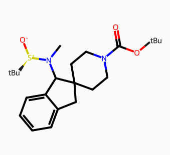 CN(C1c2ccccc2CC12CCN(C(=O)OC(C)(C)C)CC2)[S@+]([O-])C(C)(C)C